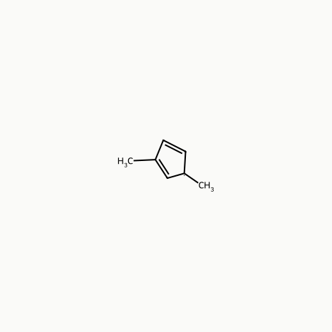 C[C]1C=CC(C)=C1